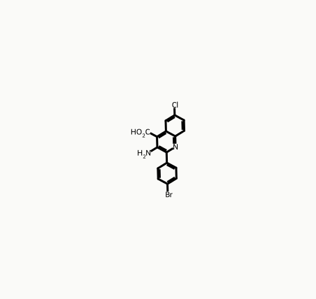 Nc1c(-c2ccc(Br)cc2)nc2ccc(Cl)cc2c1C(=O)O